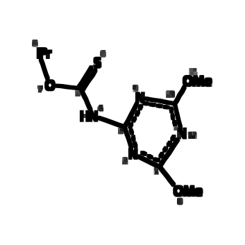 COc1nc(NC(=S)OC(C)C)nc(OC)n1